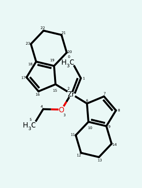 C[CH]=[Zr]([O]CC)([CH]1C=CC2=C1CCCC2)[CH]1C=CC2=C1CCCC2